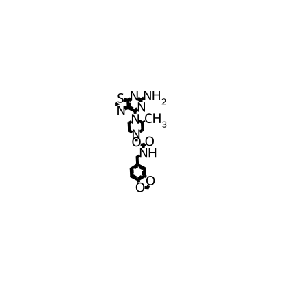 C[C@H]1CN(OC(=O)NCc2ccc3c(c2)OCO3)CCN1c1nc(N)nc2scnc12